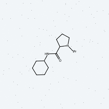 CC(C)N1CCCC1C(=O)NC1CCCCC1